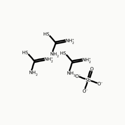 NC(=[NH2+])S.NC(=[NH2+])S.NC(=[NH2+])S.[O]=[Sb]([O-])([O-])[O-]